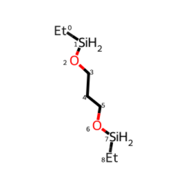 CC[SiH2]OCCCO[SiH2]CC